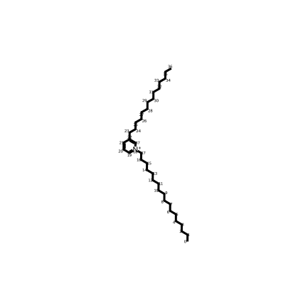 CCCCCCCCCCCCCCCCCC[n+]1cccc(CCCCCCCCCCCCCC)c1